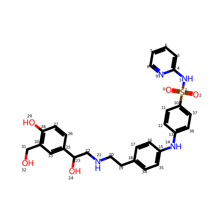 O=S(=O)(Nc1ccccn1)c1ccc(Nc2ccc(CCNCC(O)c3ccc(O)c(CO)c3)cc2)cc1